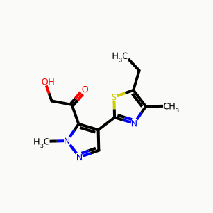 CCc1sc(-c2cnn(C)c2C(=O)CO)nc1C